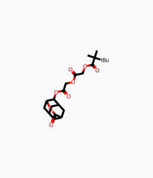 CC(C)(C)C(C)(C)C(=O)OCC(=O)OCC(=O)OC1C2CC3CC(C2)C(=O)OC1C3